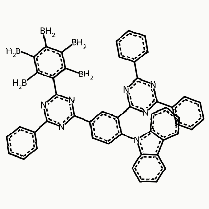 Bc1c(B)c(B)c(-c2nc(-c3ccccc3)nc(-c3ccc(-n4c5ccccc5c5ccccc54)c(-c4nc(-c5ccccc5)nc(-c5ccccc5)n4)c3)n2)c(B)c1B